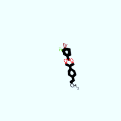 C=CCC1CCC(C2COC(c3ccc(Br)c(F)c3)OC2)CC1